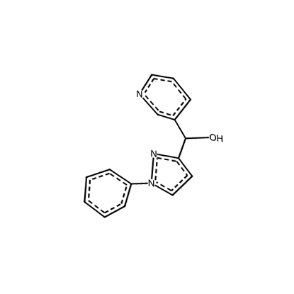 OC(c1cccnc1)c1ccn(-c2ccccc2)n1